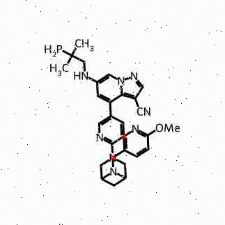 COc1ccc(CN2C3CC2CN(c2ccc(-c4cc(NCC(C)(C)P)cn5ncc(C#N)c45)cn2)C3)cn1